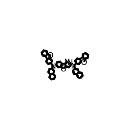 c1ccc2cc(N(c3ccc4c(c3)oc3ccccc34)c3ccc4c(c3)oc3cc(N(c5ccc6ccccc6c5)c5ccc6c(c5)oc5ccccc56)nnc34)ccc2c1